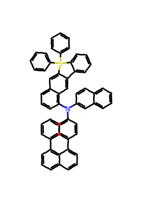 c1ccc(-c2cccc3cccc(-c4ccc(N(c5ccc6ccccc6c5)c5cccc6cc7c(cc56)-c5ccccc5S7(c5ccccc5)c5ccccc5)cc4)c23)cc1